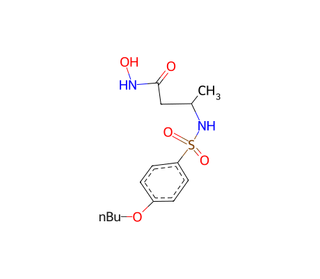 CCCCOc1ccc(S(=O)(=O)NC(C)CC(=O)NO)cc1